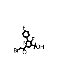 CC(C)(O)c1cc(C(=O)CBr)nc(-c2ccc(F)cc2)c1F